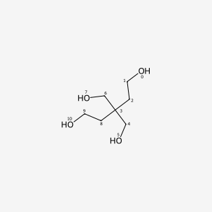 OCCC(CO)(CO)CCO